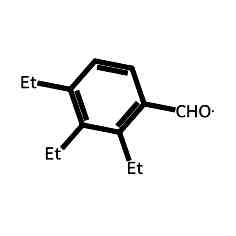 CCc1ccc([C]=O)c(CC)c1CC